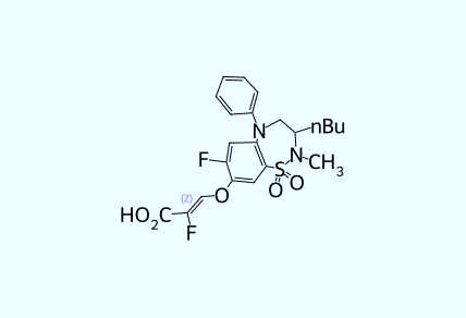 CCCCC1CN(c2ccccc2)c2cc(F)c(O/C=C(\F)C(=O)O)cc2S(=O)(=O)N1C